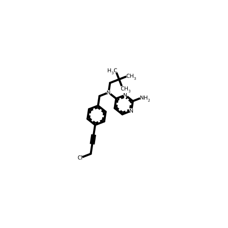 CC(C)(C)CN(Cc1ccc(C#CCCl)cc1)c1ccnc(N)n1